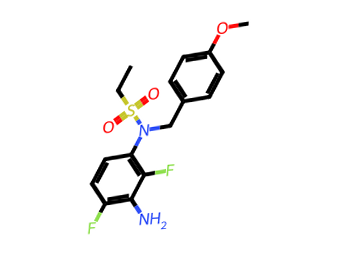 CCS(=O)(=O)N(Cc1ccc(OC)cc1)c1ccc(F)c(N)c1F